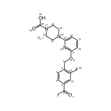 CC(=O)c1ccc(COc2cccc(N3CCN(C(=O)O)[C@@H](C)C3)n2)c(F)c1